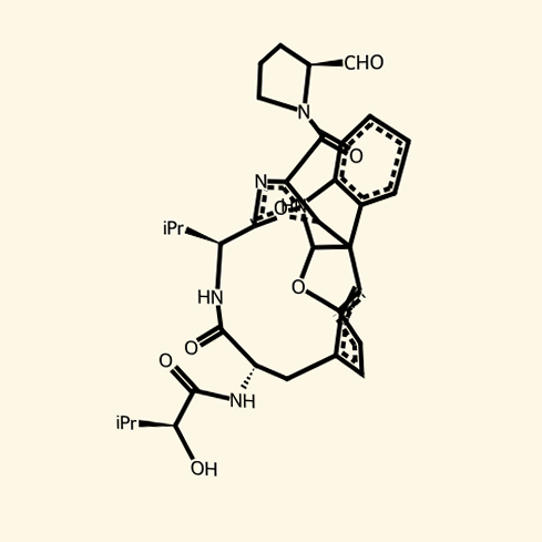 CC(C)[C@H](O)C(=O)N[C@H]1Cc2ccc3c(c2)C2(c4ccccc4NC2O3)c2oc(nc2C(=O)N2CCC[C@H]2C=O)[C@H](C(C)C)NC1=O